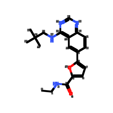 CCNC(=O)c1ccc(-c2ccc3ncnc(NCC(C)(C)C)c3c2)o1